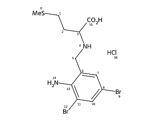 CSCCC(NCc1cc(Br)cc(Br)c1N)C(=O)O.Cl